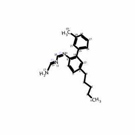 CCCCCc1ccc(/N=C\N=C\N)c(-c2cccc(C)c2)c1